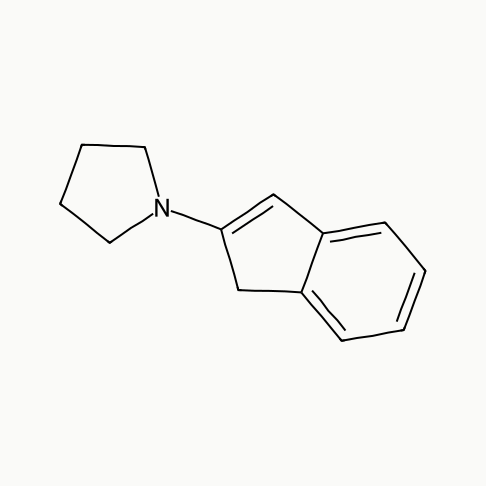 C1=C(N2CCCC2)Cc2ccccc21